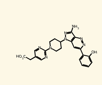 Nc1nn(C2CCN(c3ncc(CC(=O)O)cn3)CC2)c2cc(-c3ccccc3O)nnc12